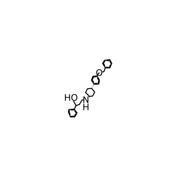 OCC(CCN[C@H]1CC[C@@H](c2ccc(OCc3ccccc3)cc2)CC1)c1ccccc1